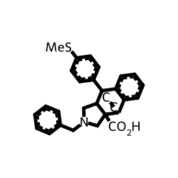 CSc1ccc(C23CCC(c4ccccc42)C2(C(=O)O)CN(Cc4ccccc4)CC32)cc1